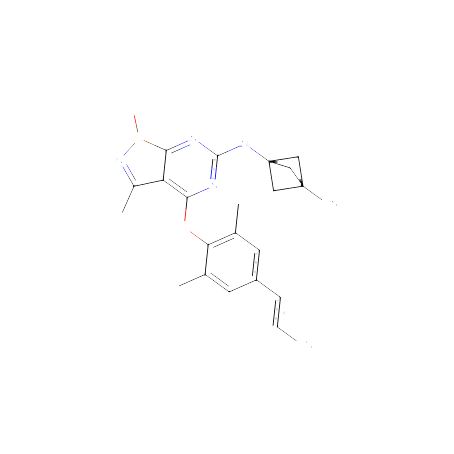 Cc1cc(/C=C/C#N)cc(C)c1Oc1nc(NC23CC(C#N)(C2)C3)nc2c1c(C)n[s+]2[O-]